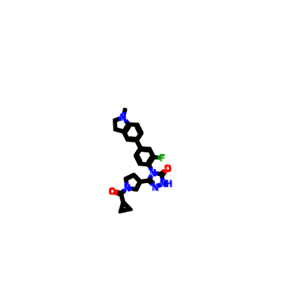 CN1CCc2cc(-c3ccc(-n4c(C5CCN(C(=O)C6CC6)C5)n[nH]c4=O)c(F)c3)ccc21